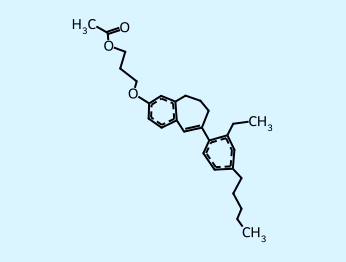 CCCCCc1ccc(C2=Cc3ccc(OCCCOC(C)=O)cc3CCC2)c(CC)c1